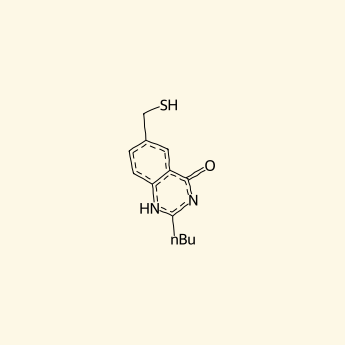 CCCCc1nc(=O)c2cc(CS)ccc2[nH]1